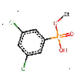 CCOP(=O)(O)c1cc(Cl)cc(Cl)c1